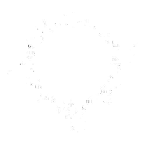 CC1O[C@@H](C)[C@@H]2NC(=O)[C@@]1(C)NC(=O)[C@H](Cc1ccc(O)cc1)NC(=O)[C@H](C)NC(=O)C(C)(C)NC(=O)[C@H](Cc1c[nH]c3ncccc13)NC(=O)[C@H]([C@@H](C)O)NC(=O)[C@@H]1CCCN1C(=O)[C@H](Cc1ccc(O)cc1)NC(=O)[C@H](C(C)(C)C)NC(=O)CCSCc1cccc(c1)CSC[C@@H](C(N)=O)NC2=O